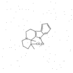 CCOC(=O)C1(C)CCCN2CCc3c(n(C)c4ccccc34)C21C